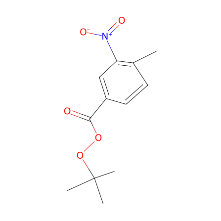 Cc1ccc(C(=O)OOC(C)(C)C)cc1[N+](=O)[O-]